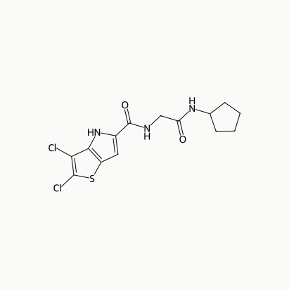 O=C(CNC(=O)c1cc2sc(Cl)c(Cl)c2[nH]1)NC1CCCC1